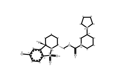 O=C(OC[C@H]1CCC[C@H]2c3cc(Cl)ccc3S(=O)(=O)N12)N1CCCC(N2CCCC2)C1